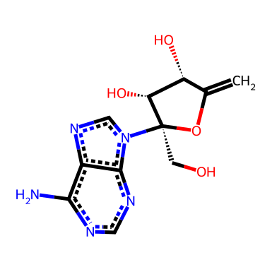 C=C1O[C@@](CO)(n2cnc3c(N)ncnc32)[C@H](O)[C@@H]1O